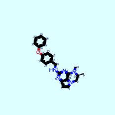 C[C@H]1Cn2ccc3nc(NCc4ccc(Oc5ccccc5)cc4)nc(c32)N1C